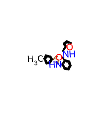 Cc1ccc(SNc2ccccc2C(=O)NCc2ccco2)cc1